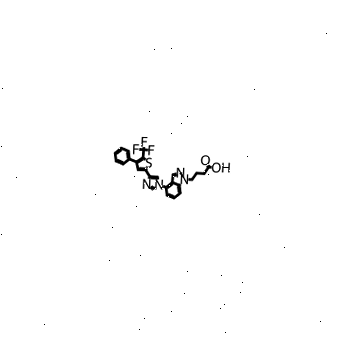 O=C(O)CCCn1ncc2c(-n3cnc(-c4cc(-c5ccccc5)c(C(F)(F)F)s4)c3)cccc21